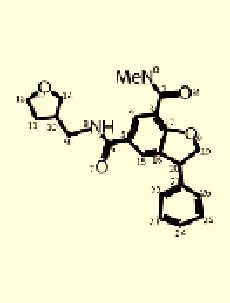 CNC(=O)c1cc(C(=O)NCC2CCOC2)cc2c1OCC2c1ccccc1